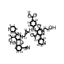 CC(=O)c1c(-c2cccnc2)nn(CC2CC2)c(=O)c1Nc1cccc(C#N)c1.COC(=O)c1ccc(Nc2c(C(C)=O)c(-c3cccnc3)nn(CCO)c2=O)cc1